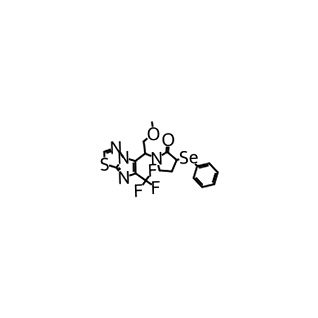 COCC(c1c(C(F)(F)F)nc2scnn12)N1CCC([Se]c2ccccc2)C1=O